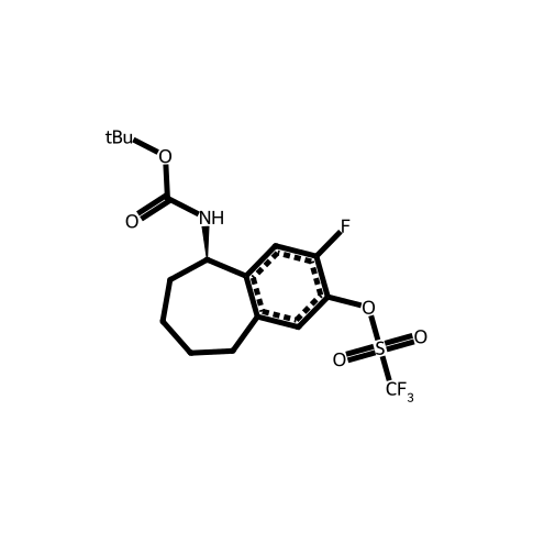 CC(C)(C)OC(=O)N[C@@H]1CCCCc2cc(OS(=O)(=O)C(F)(F)F)c(F)cc21